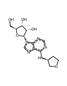 OC[C@@H]1O[C@H](n2cnc3c(N[C@H]4CCOC4)ncnc32)[C@@H](O)[C@H]1O